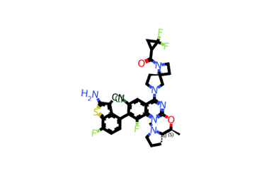 C[C@H](Oc1nc(N2CC[C@@]3(CCN3C(=O)C3CC3(F)F)C2)c2cc(Cl)c(-c3ccc(F)c4sc(N)c(C#N)c34)c(F)c2n1)[C@@H]1CCCN1C